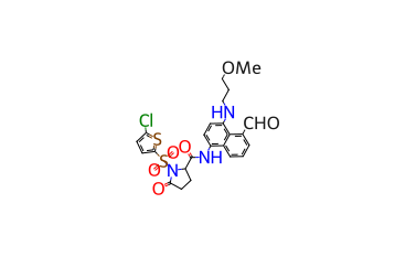 COCCCNc1ccc(NC(=O)C2CCC(=O)N2S(=O)(=O)c2ccc(Cl)s2)c2cccc(C=O)c12